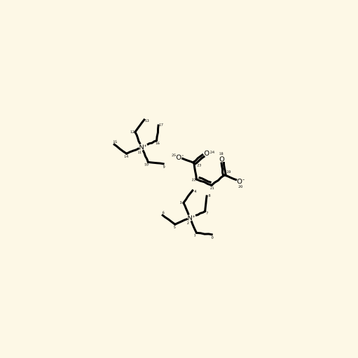 CC[N+](CC)(CC)CC.CC[N+](CC)(CC)CC.O=C([O-])/C=C\C(=O)[O-]